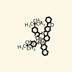 CC(C)(C)c1ccc(Nc2cc3ccccc3cc2-c2ccc3c4cc5oc6ccccc6c5cc4n4c3c2Bc2sc3ccc(C(C)(C)C)cc3c2-4)cc1